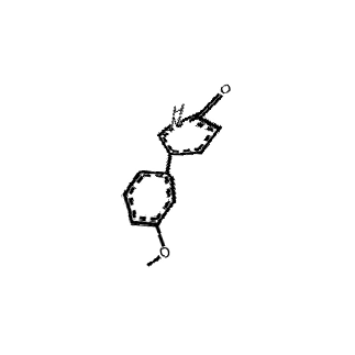 COc1cccc(-c2ccc(=O)[nH]c2)c1